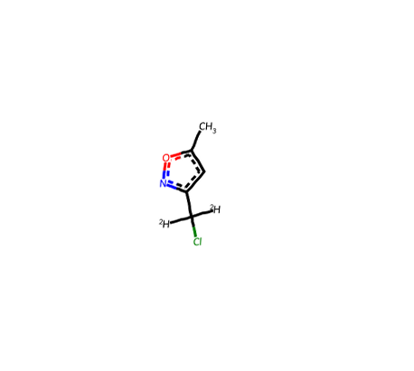 [2H]C([2H])(Cl)c1cc(C)on1